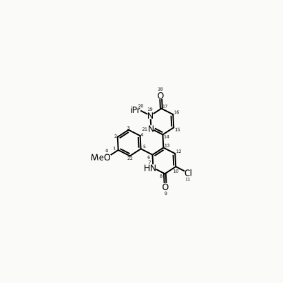 COc1cccc(-c2[nH]c(=O)c(Cl)cc2-c2ccc(=O)n(C(C)C)n2)c1